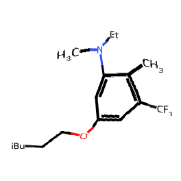 CCC(C)CCOc1cc(N(C)CC)c(C)c(C(F)(F)F)c1